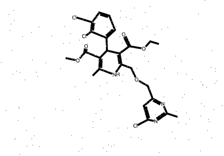 CCOC(=O)C1=C(COCc2cc(Cl)nc(C)n2)NC(C)=C(C(=O)OC)C1c1cccc(Cl)c1Cl